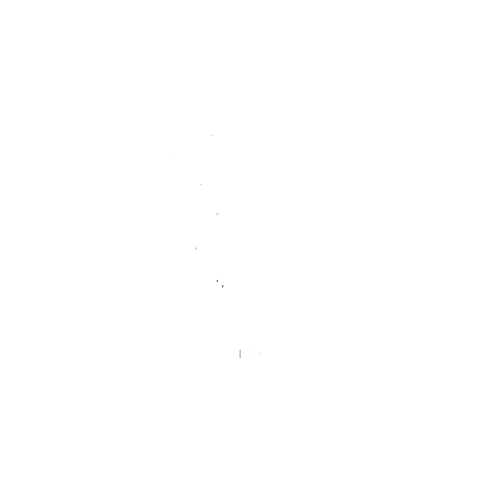 OCc1ncc(C2CC2)cc1F